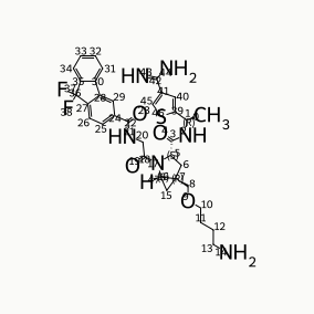 C[C@@H](NC(=O)[C@@H]1C[C@]2(COCCCCN)C[C@@H]2N1C(=O)CNC(=O)c1ccc2c(c1)-c1ccccc1C2(F)F)c1cc(C(=N)N)cs1